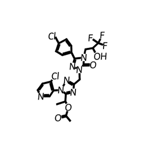 CC(=O)OC(C)c1nc(Cn2nc(-c3ccc(Cl)cc3)n(CC(O)C(F)(F)F)c2=O)nn1-c1cnccc1Cl